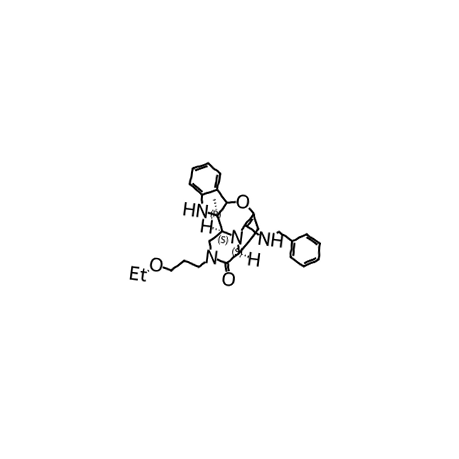 CCOCCCN1C[C@@H]2N3C(NCc4ccccc4)=C(C[C@H]3C1=O)OC1c3ccccc3N[C@@]12C